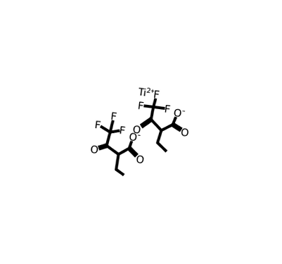 CCC(C(=O)[O-])C(=O)C(F)(F)F.CCC(C(=O)[O-])C(=O)C(F)(F)F.[Ti+2]